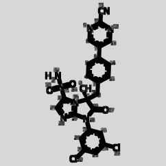 C[C@@]1(Cc2ccc(-c3cnc(C#N)nc3)cc2)C(=O)N(c2cc(Cl)cc(Cl)c2)c2ncc(S(N)(=O)=O)n21